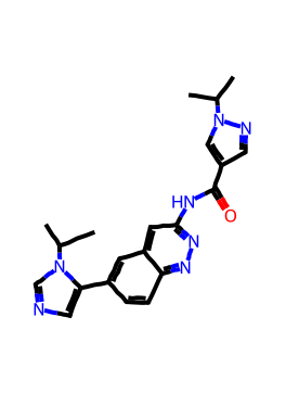 CC(C)n1cc(C(=O)Nc2cc3cc(-c4cncn4C(C)C)ccc3nn2)cn1